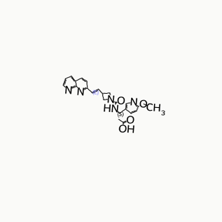 COc1ccc([C@H](CC(=O)O)NC(=O)N2CC(/C=C/c3ccc4cccnc4n3)C2)cn1